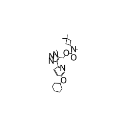 CN(C(=O)OCc1c(-c2ccc(OC3CCCCC3)cn2)nnn1C)C1CC(C)(C)C1